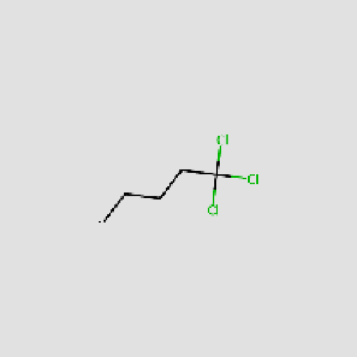 [CH2]CCCC(Cl)(Cl)Cl